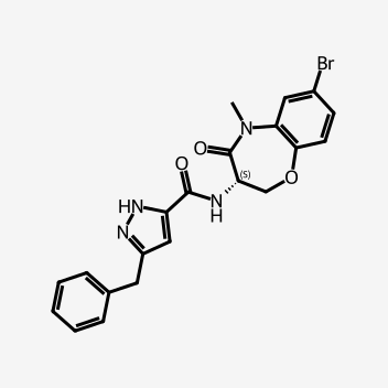 CN1C(=O)[C@@H](NC(=O)c2cc(Cc3ccccc3)n[nH]2)COc2ccc(Br)cc21